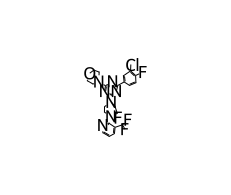 Fc1ccc(-c2nc(N3CCOCC3)nc(N3CCN(c4ncccc4C(F)(F)F)CC3)n2)cc1Cl